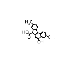 Cc1ccc2c(c1)C(C(=O)O)c1cc(O)c3cc(C)ccc3c1-2